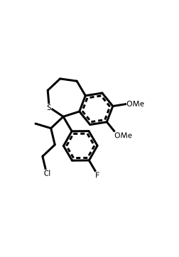 COc1cc2c(cc1OC)C(c1ccc(F)cc1)(C(C)CCCl)SCCC2